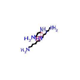 NC(=O)CC(N)=O.NCCCCCCNCCCCCCN